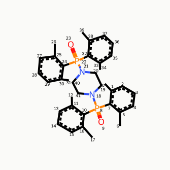 Cc1cccc(C)c1P(=O)(c1c(C)cccc1C)N1CCN(P(=O)(c2c(C)cccc2C)c2c(C)cccc2C)CC1